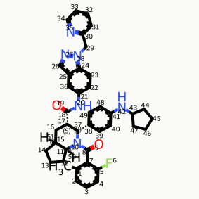 Cc1cccc(F)c1C(=O)N1[C@@H]2CCC[C@@H]2C[C@H](C(=O)Nc2ccc3c(cnn3Cc3ccccn3)c2)[C@@H]1c1ccc(NC2CCCC2)cc1